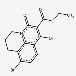 CCOC(=O)c1c(O)c2ccc(Br)c3c2n(c1=O)CCC3